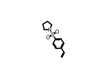 C=Cc1ccc(S(=O)(=O)N2[CH]CCC2)cc1